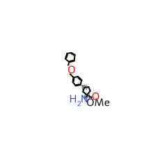 COC(=O)[C@@]1(N)CC[C@@H](c2ccc(COCc3ccccc3)cc2)C1